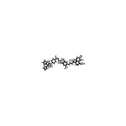 COc1cc(NC(=O)CCN(C)C2CCC(OC(=O)C(O)(c3cccs3)c3cccs3)CC2)c(F)cc1CNC[C@@H](O)c1ccc(O)c2[nH]c(=O)ccc12